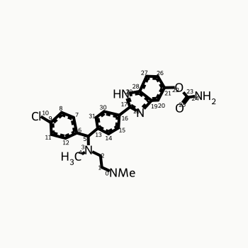 CNCCN(C)C(c1ccc(Cl)cc1)c1ccc(-c2nc3cc(OC(N)=O)ccc3[nH]2)cc1